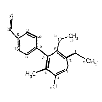 [CH2]Cc1cc(Cl)c(C)c(-c2ccc(C=O)nc2)c1OC